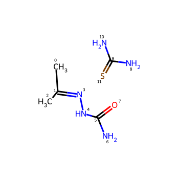 CC(C)=NNC(N)=O.NC(N)=S